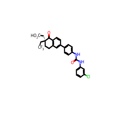 O=C(O)C[C@@]1(CC(F)(F)F)CCc2cc(-c3ccc(NC(=O)Nc4cccc(Cl)c4)cc3)ccc2C1=O